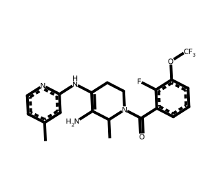 Cc1ccnc(NC2=C(N)C(C)N(C(=O)c3cccc(OC(F)(F)F)c3F)CC2)c1